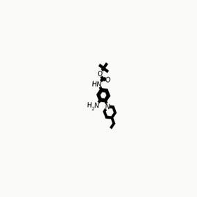 CCC1CCN(c2ccc(NC(=O)OC(C)(C)C)cc2N)CC1